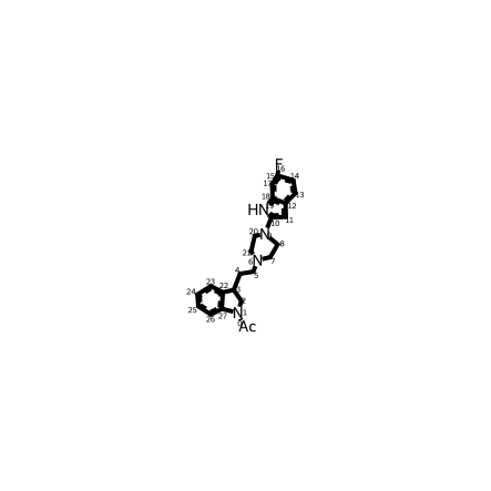 CC(=O)N1CC(CCN2CCN(c3cc4ccc(F)cc4[nH]3)CC2)c2ccccc21